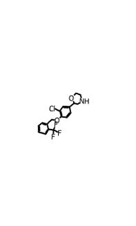 FC(F)(F)c1ccccc1COc1ccc(C2CNCCO2)cc1Cl